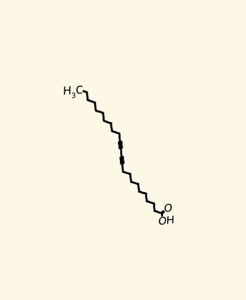 CCCCCCCCCCC#CC#CCCCCCCCCCC(=O)O